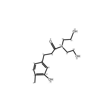 Cc1ccc(CCC(=O)N(CCO)CCO)cc1O